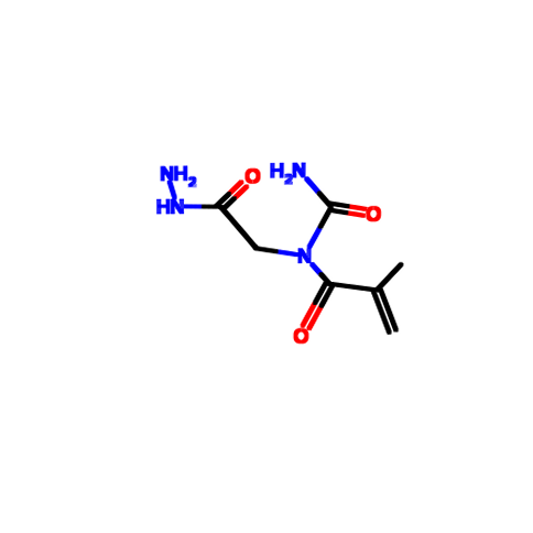 C=C(C)C(=O)N(CC(=O)NN)C(N)=O